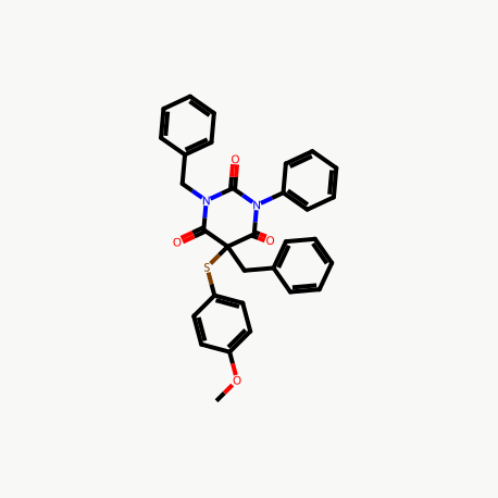 COc1ccc(SC2(Cc3ccccc3)C(=O)N(Cc3ccccc3)C(=O)N(c3ccccc3)C2=O)cc1